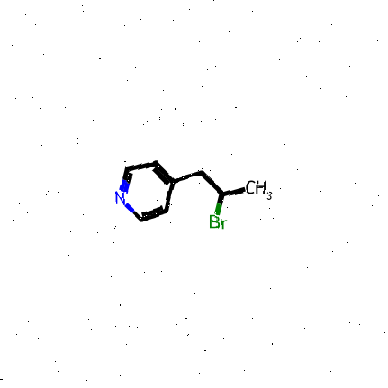 CC(Br)Cc1ccncc1